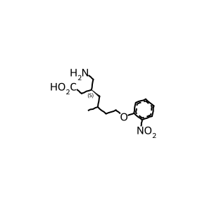 CC(CCOc1ccccc1[N+](=O)[O-])C[C@H](CN)CC(=O)O